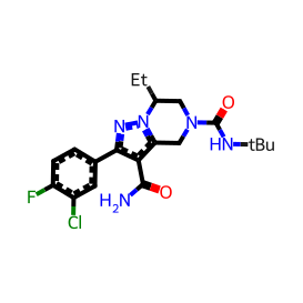 CCC1CN(C(=O)NC(C)(C)C)Cc2c(C(N)=O)c(-c3ccc(F)c(Cl)c3)nn21